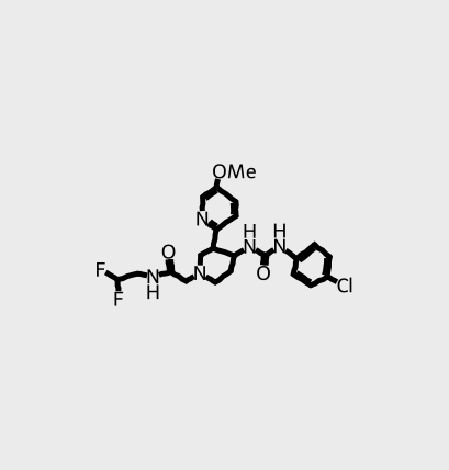 COc1ccc(C2CN(CC(=O)NCC(F)F)CCC2NC(=O)Nc2ccc(Cl)cc2)nc1